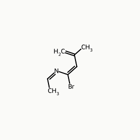 C=C(C)/C=C(Br)\N=C/C